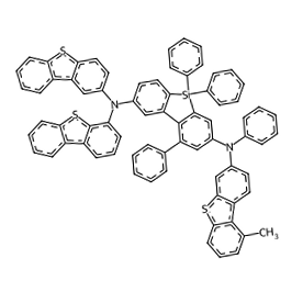 Cc1cccc2sc3cc(N(c4ccccc4)c4cc(-c5ccccc5)c5c(c4)[Si](c4ccccc4)(c4ccccc4)c4ccc(N(c6ccc7sc8ccccc8c7c6)c6cccc7c6sc6ccccc67)cc4-5)ccc3c12